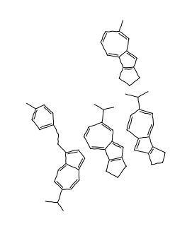 CC(C)c1ccc2cc3c(c-2cc1)CCC3.CC(C)c1cccc2c3c(cc-2c1)CCC3.Cc1ccc(CCc2ccc3ccc(C(C)C)ccc2-3)cc1.Cc1cccc2c3c(cc-2c1)CCC3